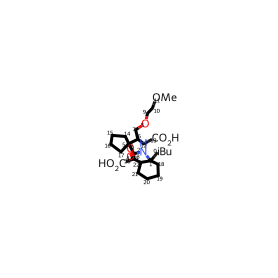 CCC(C)C1(NC(=O)C2(C(COCCOC)CC(=O)O)CCCC2)CCCCC1C(=O)C(=O)O